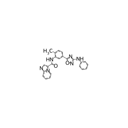 Cc1ccc(-c2nc(Nc3ccccc3)no2)cc1NC(=O)c1cnc2ccccn12